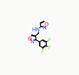 Fc1cc(-c2nocc2CNc2ccon2)cc(F)c1F